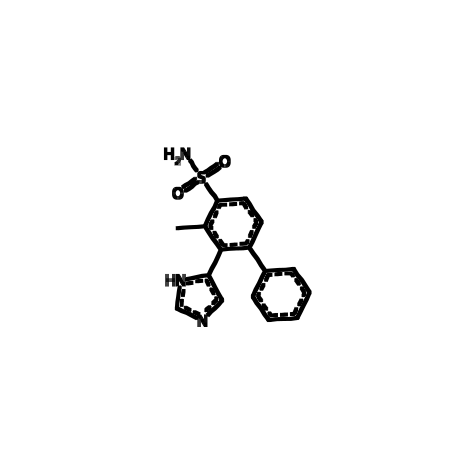 Cc1c(S(N)(=O)=O)ccc(-c2ccccc2)c1-c1cnc[nH]1